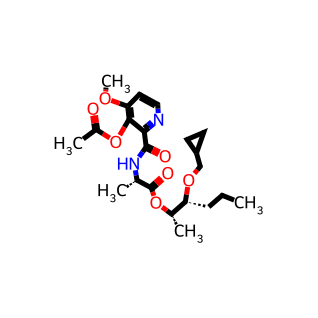 CCC[C@@H](OCC1CC1)[C@H](C)OC(=O)[C@H](C)NC(=O)c1nccc(OC)c1OC(C)=O